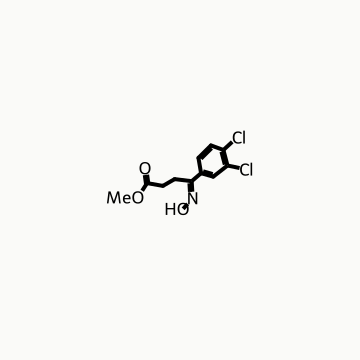 COC(=O)CCC(=NO)c1ccc(Cl)c(Cl)c1